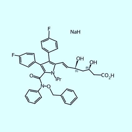 CC(C)n1c(C=C[C@@H](O)C[C@@H](O)CC(=O)O)c(-c2ccc(F)cc2)c(-c2ccc(F)cc2)c1C(=O)N(OCc1ccccc1)c1ccccc1.[NaH]